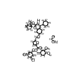 COc1ccc([C@H](Cc2c(Cl)c[n+]([O-])cc2Cl)OC(=O)c2ccc(COc3ccc([C@H](NC(=O)O[C@H]4CN5CCC4CC5)c4ccccc4)cc3)o2)cc1OC.O=CO